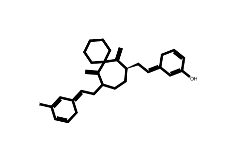 C=C1C(C/C=C2/C=C(I)C=CC2)CC[C@H](C/C=C2/C=C(O)C=CC2)C(=C)C12CCCCC2